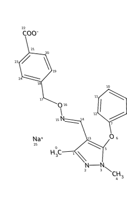 Cc1nn(C)c(Oc2ccccc2)c1C=NOCc1ccc(C(=O)[O-])cc1.[Na+]